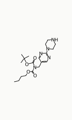 CCCCOC(=O)N(Cc1cnc(N2CCNCC2)nc1)C(=O)OC(C)(C)C